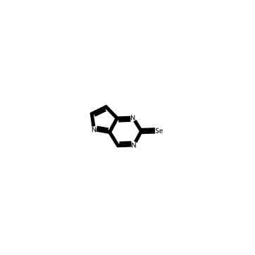 [Se]=C1N=CC2=NC=CC2=N1